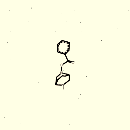 O=C(ON1CC2CCCC1CN2)c1ccccc1